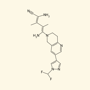 CC(=C(/N)C#N)/C(C)=C(\N)N1CCc2ncc(-c3cnn(C(F)F)c3)cc2C1